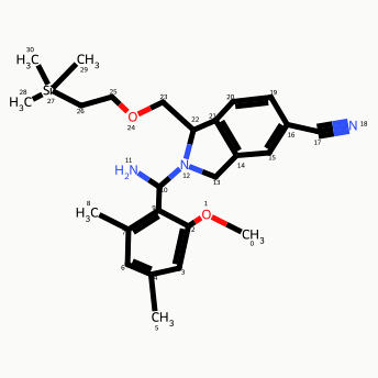 COc1cc(C)cc(C)c1C(N)N1Cc2cc(C#N)ccc2C1COCC[Si](C)(C)C